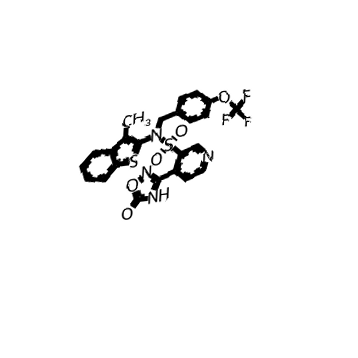 Cc1c(N(Cc2ccc(OC(F)(F)F)cc2)S(=O)(=O)c2cnccc2-c2noc(=O)[nH]2)sc2ccccc12